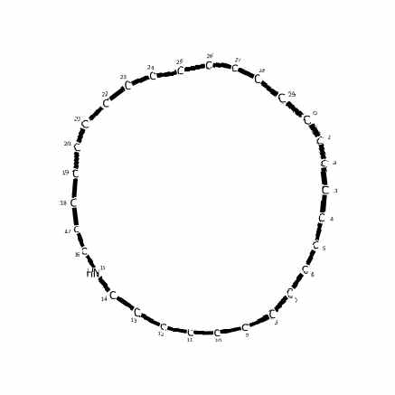 C1CCCCCCCCCCCCCCNCCCCCCCCCCCCCC1